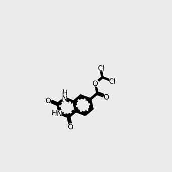 O=C(OC(Cl)Cl)c1ccc2c(=O)[nH]c(=O)[nH]c2c1